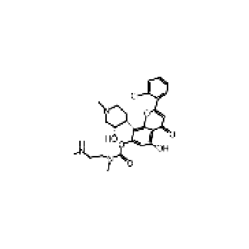 CNCCN(C)C(=O)Oc1cc(O)c2c(=O)cc(-c3ccccc3Cl)oc2c1[C@H]1CCN(C)C[C@H]1O